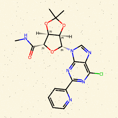 CNC(=O)[C@H]1O[C@@H](n2cnc3c(Cl)nc(-c4ccccn4)nc32)[C@@H]2OC(C)(C)O[C@@H]21